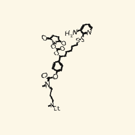 CCN(C)CCCN(C)C(=O)Oc1ccc(C(CCCCCSSc2ncccc2N)OC(=O)ON2C(=O)CCC2=O)cc1